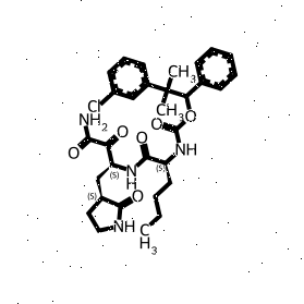 CCCC[C@H](NC(=O)OC(c1ccccc1)C(C)(C)c1cccc(Cl)c1)C(=O)N[C@@H](C[C@@H]1CCNC1=O)C(=O)C(N)=O